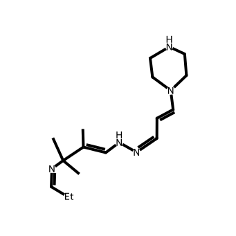 CC/C=N\C(C)(C)/C(C)=C/N/N=C\C=C\N1CCNCC1